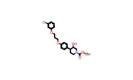 CC(C)(C)OC(=O)N1CCC(c2ccc(OCCCOc3cccc(Cl)c3)cc2)C(O)C1